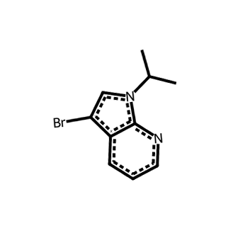 CC(C)n1cc(Br)c2cccnc21